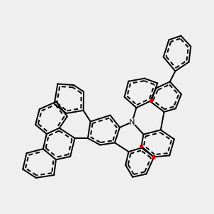 c1ccc(-c2ccc(-c3ccccc3N(c3ccccc3)c3cc(-c4ccccc4)c(-c4cc5ccccc5c5ccccc45)cc3-c3ccccc3)cc2)cc1